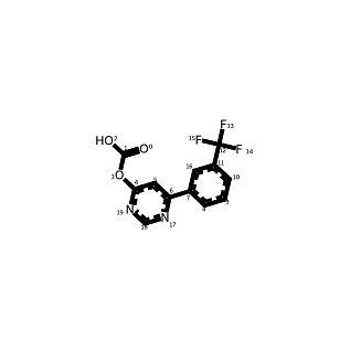 O=C(O)Oc1cc(-c2cccc(C(F)(F)F)c2)ncn1